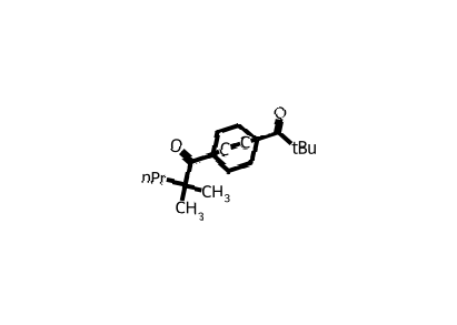 CCCC(C)(C)C(=O)C12CCC(C(=O)C(C)(C)C)(CC1)CC2